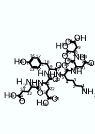 NCCCCC(NC(=O)C(Cc1ccc(O)cc1)NC(=O)C(CCC(=O)O)NC(=O)C(N)CCC(=O)O)C(=O)NC(CC(=O)O)C(=O)NC(CC(=O)O)C(=O)O